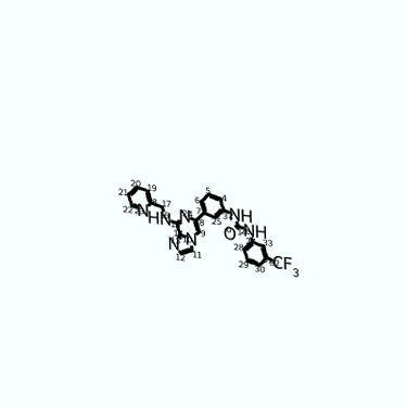 O=C(Nc1cccc(-c2cn3ccnc3c(NCc3ccccn3)n2)c1)Nc1cccc(C(F)(F)F)c1